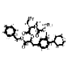 CC(C)C[C@@H](C(=O)OC(Cc1ccc(C2CCOCC2)c(F)c1)C(=O)OCc1ccccc1)N(C)C(=O)OC(C)(C)C